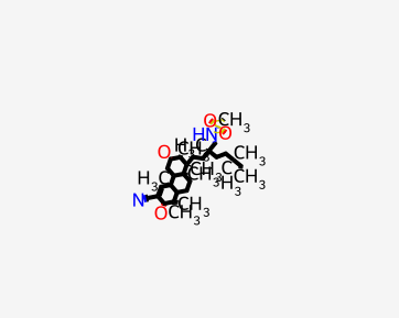 CCC(C)(C)CC[C@@](C)(CC[C@]1(C)C(C)C(=O)CC2[C@@]3(C)C=C(C#N)C(=O)C(C)(C)C3CC[C@]21C)CNS(C)(=O)=O